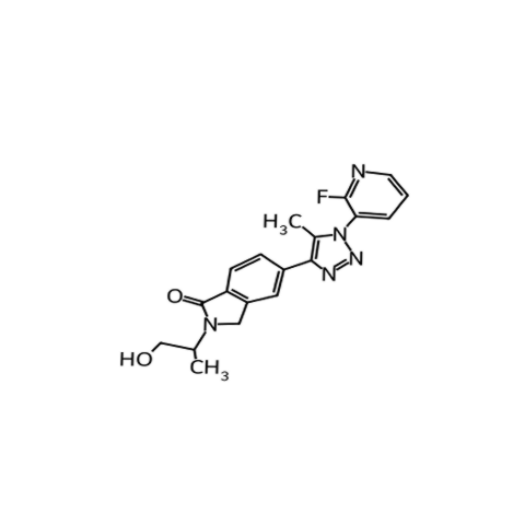 Cc1c(-c2ccc3c(c2)CN(C(C)CO)C3=O)nnn1-c1cccnc1F